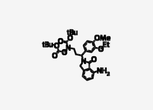 CCOc1cc(C(CCN(OC(=O)OC(C)(C)C)C(=O)OC(C)(C)C)N2Cc3cccc(N)c3C2=O)ccc1OC